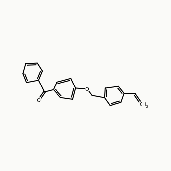 C=Cc1ccc(COc2ccc(C(=O)c3ccccc3)cc2)cc1